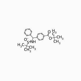 CC(C)(C)OC(=O)c1ccc(C(N[S+]([O-])C(C)(C)C)c2ccccc2)cc1